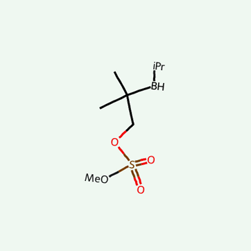 COS(=O)(=O)OCC(C)(C)BC(C)C